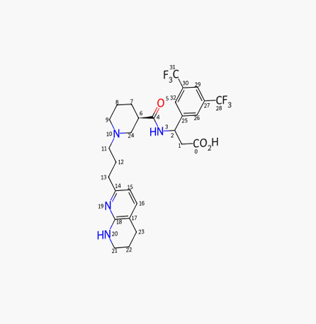 O=C(O)CC(NC(=O)[C@@H]1CCCN(CCCc2ccc3c(n2)NCCC3)C1)c1cc(C(F)(F)F)cc(C(F)(F)F)c1